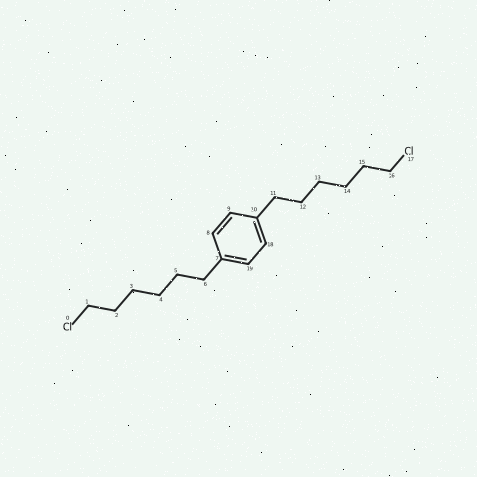 ClCCCCCCc1ccc(CCCCCCCl)cc1